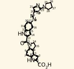 O=C(O)c1cc2c3c(ccc2[nH]1)N(C(=O)c1cc2cc(/N=N/c4cnc(N5CCCC5)s4)ccc2[nH]1)CC3